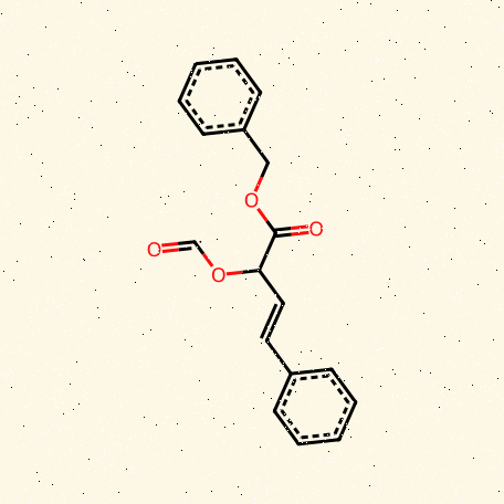 O=[C]OC(C=Cc1ccccc1)C(=O)OCc1ccccc1